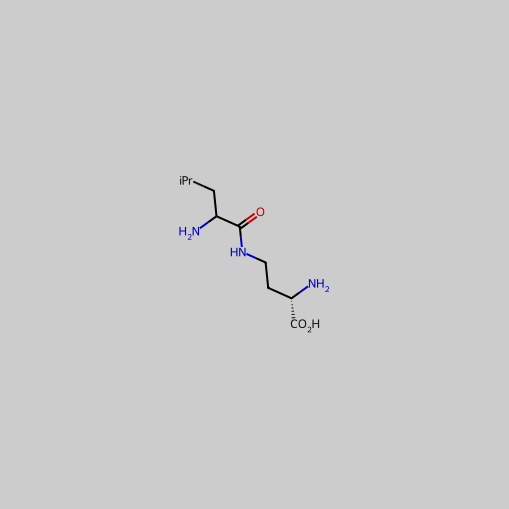 CC(C)CC(N)C(=O)NCC[C@H](N)C(=O)O